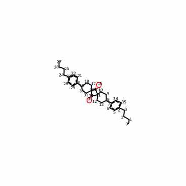 CCCCc1ccc(C2CCC3(CC2)C(=O)C2(CCC(c4ccc(CCCC)cc4)CC2)C3=O)cc1